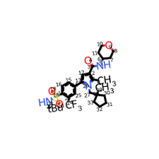 Cc1c(C(=O)NC2CCOCC2)cc(-c2ccc(S(=O)(=O)NC(C)(C)C)c(C(F)(F)F)c2)n1CC1(C)CCCC1